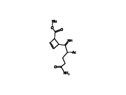 CC(=O)C(CCC(N)=O)C(=N)C1C=CC1C(=O)OC(C)(C)C